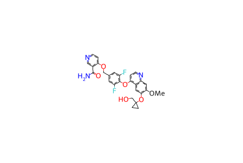 COc1cc2nccc(Oc3c(F)cc(COc4ccncc4C(N)=O)cc3F)c2cc1OC1(CO)CC1